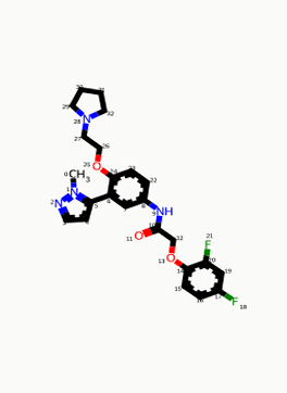 Cn1nccc1-c1cc(NC(=O)COc2ccc(F)cc2F)ccc1OCCN1CCCC1